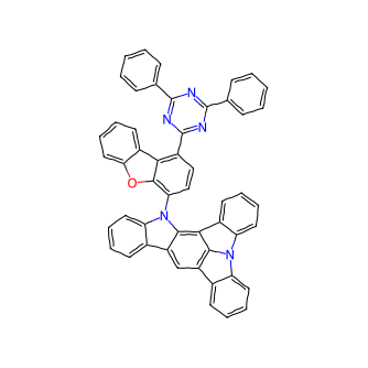 c1ccc(-c2nc(-c3ccccc3)nc(-c3ccc(-n4c5ccccc5c5cc6c7ccccc7n7c8ccccc8c(c54)c67)c4oc5ccccc5c34)n2)cc1